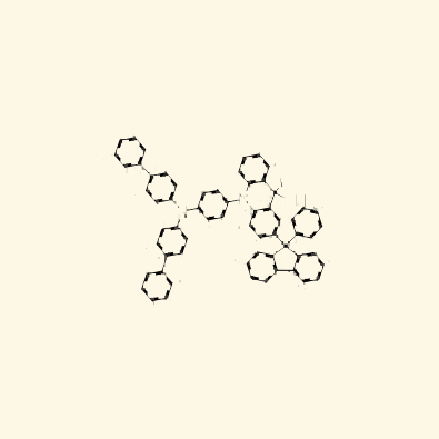 CC1(C)c2ccccc2N(c2ccc(N(c3ccc(-c4ccccc4)cc3)c3ccc(-c4ccccc4)cc3)cc2)c2ccc(C3(c4ccccc4)c4ccccc4-c4ccccc43)cc21